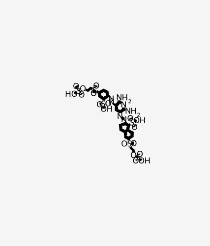 Nc1nc(N)c(/N=N/c2ccc3cc(S(=O)(=O)CCOS(=O)(=O)O)ccc3c2S(=O)(=O)O)cc1/N=N/c1ccc(S(=O)(=O)CCOS(=O)(=O)O)cc1S(=O)(=O)O